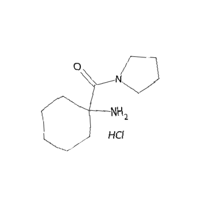 Cl.NC1(C(=O)N2CCCC2)CCCCC1